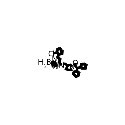 Bc1cnn2c(NCC3CCCN(C(=O)C(c4ccccc4)c4ccccc4)C3)cc(-c3ccccc3Cl)nc12